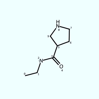 CC[N]C(=O)C1CCNC1